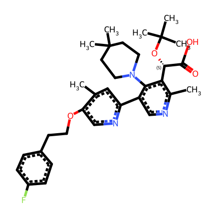 Cc1cc(-c2cnc(C)c([C@H](OC(C)(C)C)C(=O)O)c2N2CCC(C)(C)CC2)ncc1OCCc1ccc(F)cc1